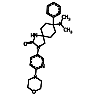 CN(C)C1(c2ccccc2)CCC2(CC1)CN(c1ccc(N3CCOCC3)nc1)C(=O)N2